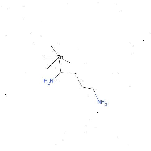 [CH3][Zn]([CH3])([CH3])([CH3])[CH](N)CCCN